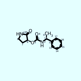 C[C@H](NC(=O)O[C@H]1CCNC1=O)c1ccccc1